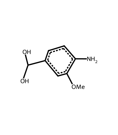 COc1cc(C(O)O)ccc1N